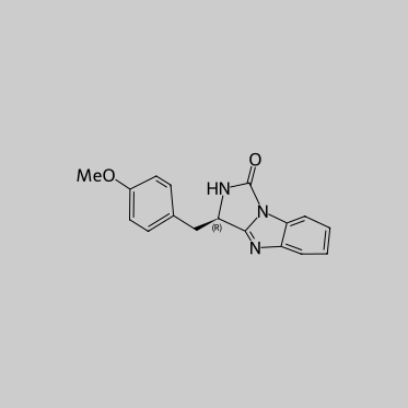 COc1ccc(C[C@H]2NC(=O)n3c2nc2ccccc23)cc1